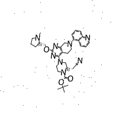 CN1CCC[C@H]1COc1nc2c(c(N3CCN(C(=O)OC(C)(C)C)[C@@H](CC#N)C3)n1)CCN(c1cccc3ncccc13)C2